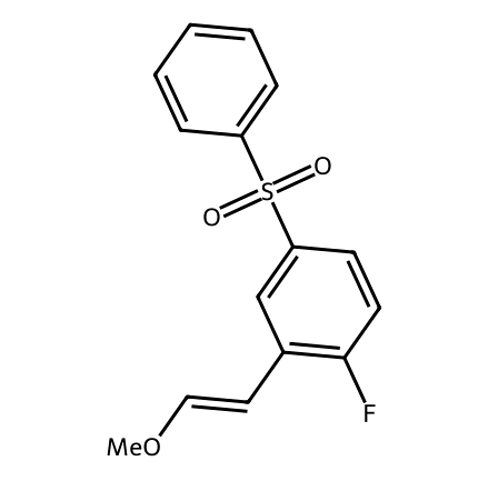 COC=Cc1cc(S(=O)(=O)c2ccccc2)ccc1F